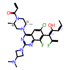 C=CC(=O)N1C[C@H](C)N(c2nc(N3CC(N(C)C)C3)nc3c(F)c(/C(C(=C)F)=C(O)/C=C\C)c(Cl)cc23)C[C@H]1C